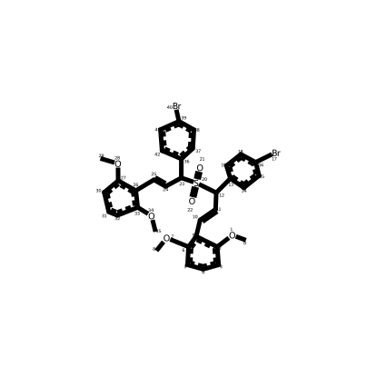 COc1cccc(OC)c1C=CC(c1ccc(Br)cc1)S(=O)(=O)C(C=Cc1c(OC)cccc1OC)c1ccc(Br)cc1